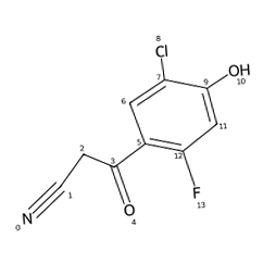 N#CCC(=O)c1cc(Cl)c(O)cc1F